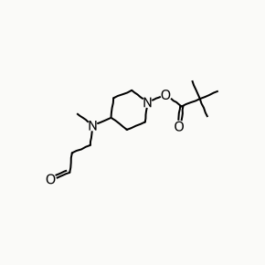 CN(CCC=O)C1CCN(OC(=O)C(C)(C)C)CC1